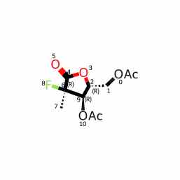 CC(=O)OC[C@H]1OC(=O)[C@](C)(F)[C@@H]1OC(C)=O